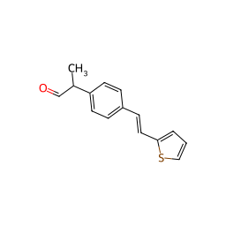 CC(C=O)c1ccc(C=Cc2cccs2)cc1